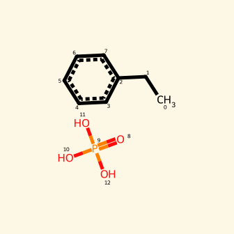 CCc1ccccc1.O=P(O)(O)O